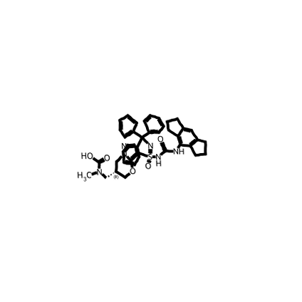 CN(C[C@H]1COc2c(S(=O)(=NC(c3ccccc3)(c3ccccc3)c3ccccc3)NC(=O)Nc3c4c(cc5c3CCC5)CCC4)cnn2C1)C(=O)O